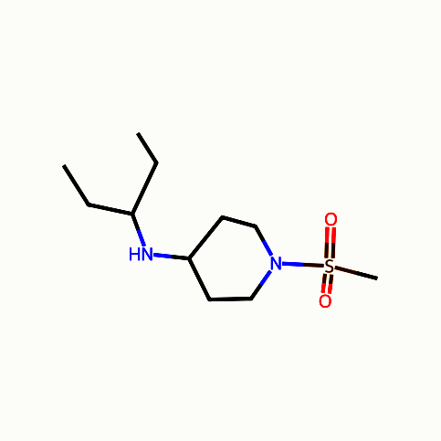 CCC(CC)NC1CCN(S(C)(=O)=O)CC1